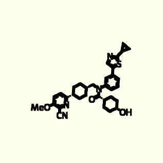 COc1ccc([C@H]2CC[C@H](CN(c3cccc(-c4cnc(C5CC5)s4)c3)C(=O)[C@H]3CC[C@H](O)CC3)CC2)nc1C#N